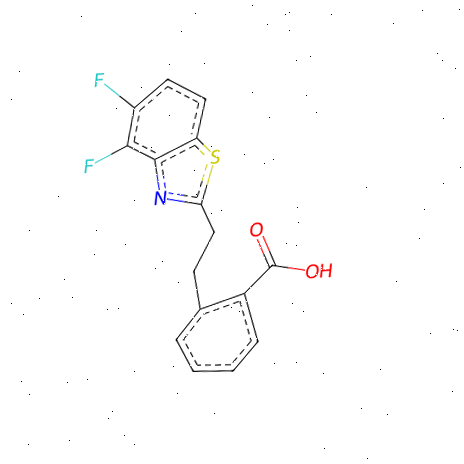 O=C(O)c1ccccc1CCc1nc2c(F)c(F)ccc2s1